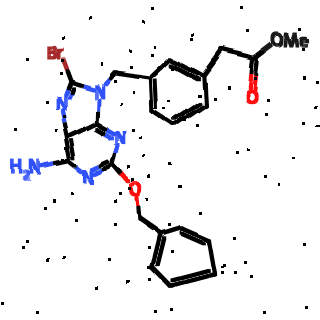 COC(=O)Cc1cccc(Cn2c(Br)nc3c(N)nc(OCc4ccccc4)nc32)c1